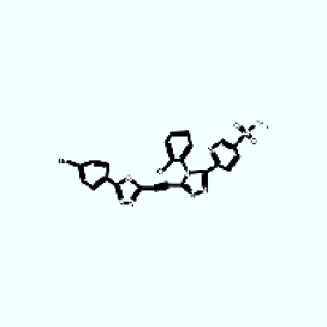 CS(=O)(=O)c1ccc(-c2nnc(C#Cc3nnc(-c4ccc(Br)cc4)o3)n2-c2ccccc2Cl)nc1